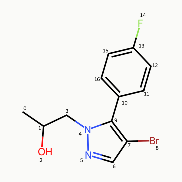 CC(O)Cn1ncc(Br)c1-c1ccc(F)cc1